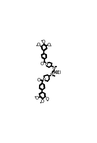 COc1cc(-c2ccc(C(=O)N3CCC(N(C)CCN(C)C4CCN(C(=O)c5ccc(-c6cc(OC)c(OC)c(OC)c6)cc5)CC4)CC3)cc2)cc(OC)c1OC.Cl.Cl